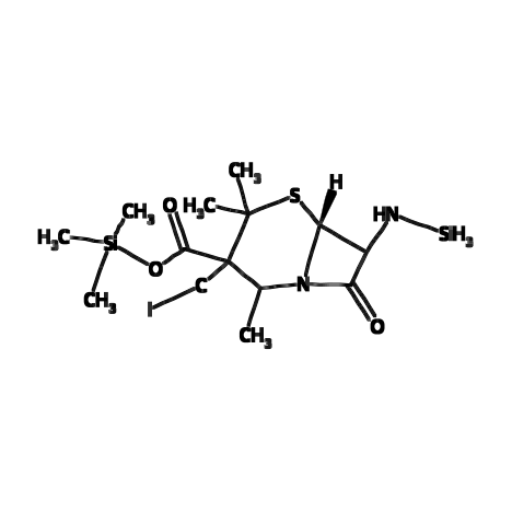 CC1N2C(=O)C(N[SiH3])[C@H]2SC(C)(C)C1(CI)C(=O)O[Si](C)(C)C